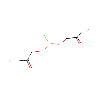 COC(=O)COP(Cl)OCC(=O)OC